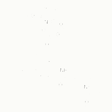 O=C(CCN1CC=CC1=O)Nc1ccc2c(c1)C(COC(=O)ON1C(=O)CCC1=O)c1ccccc1-2